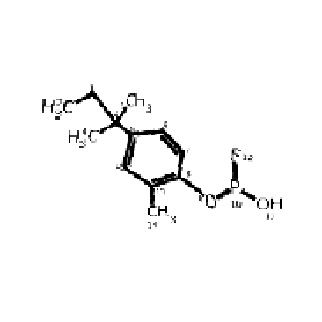 CCC(C)(C)c1ccc(OP(O)F)c(C)c1